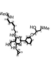 CNCC(O)COc1cccc(-c2nc(NCC/C=C\C=C/NOC)c(C=N)c(NC3CC3)n2)c1